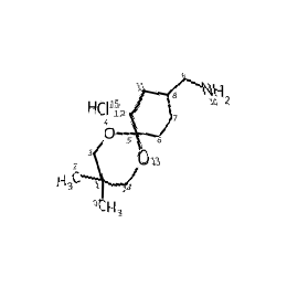 CC1(C)COC2(CCC(CN)CC2)OC1.Cl